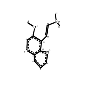 COc1cnc2cccnc2c1/C=C/N(C)C